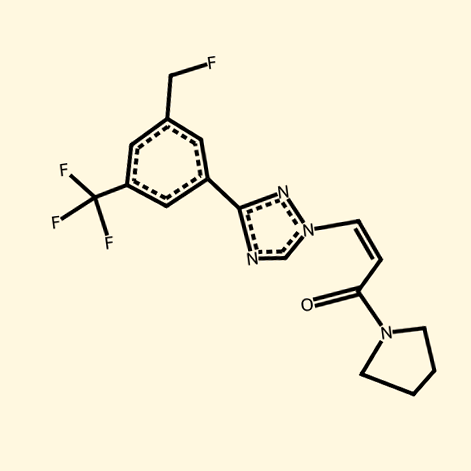 O=C(/C=C\n1cnc(-c2cc(CF)cc(C(F)(F)F)c2)n1)N1CCCC1